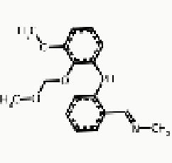 C/N=C/c1ccccc1Pc1cccc(OC)c1OCOC